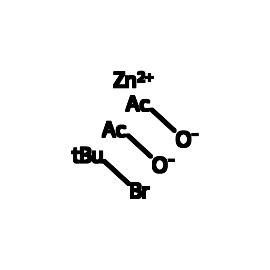 CC(=O)[O-].CC(=O)[O-].CC(C)(C)Br.[Zn+2]